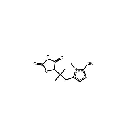 Cn1c(CC(C)(C)C2OC(=O)NC2=O)cnc1C(C)(C)C